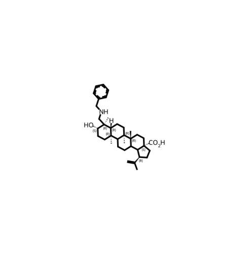 C=C(C)[C@@H]1CC[C@]2(C(=O)O)CC[C@]3(C)C(CCC4[C@@]5(C)CC[C@H](O)[C@@](C)(CNCc6ccccc6)[C@@H]5CC[C@]43C)C12